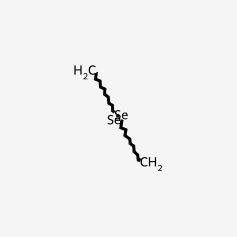 C=CCCCCCCCCC[Se][Se]CCCCCCCCCC=C